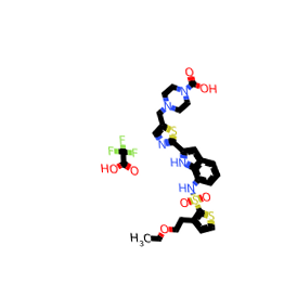 CCOCCc1ccsc1S(=O)(=O)Nc1cccc2cc(-c3ncc(CN4CCN(C(=O)O)CC4)s3)[nH]c12.O=C(O)C(F)(F)F